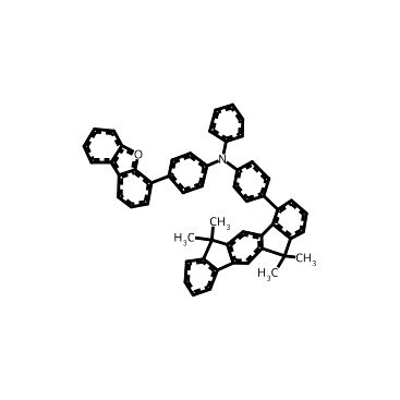 CC1(C)c2ccccc2-c2cc3c(cc21)-c1c(-c2ccc(N(c4ccccc4)c4ccc(-c5cccc6c5oc5ccccc56)cc4)cc2)cccc1C3(C)C